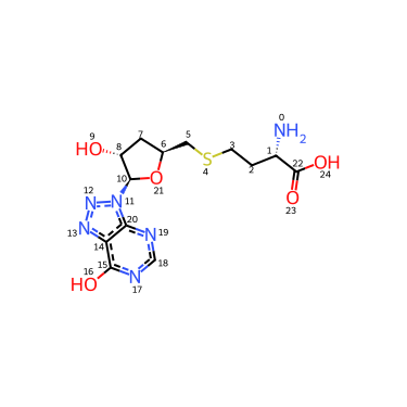 N[C@@H](CCSC[C@@H]1C[C@@H](O)[C@H](n2nnc3c(O)ncnc32)O1)C(=O)O